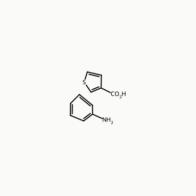 Nc1ccccc1.O=C(O)c1ccsc1